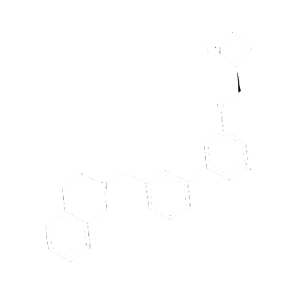 c1cc(CN2CCc3ccccc3C2)cc(-c2cncc(OC[C@@H]3CCN3)c2)c1